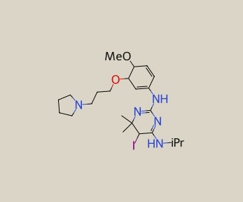 COC1C=CC(NC2=NC(C)(C)C(I)C(NC(C)C)=N2)=CC1OCCCN1CCCC1